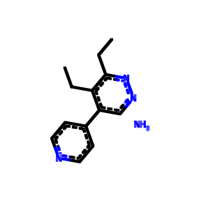 CCc1nncc(-c2ccncc2)c1CC.N